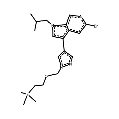 CC(C)Cn1cc(-c2cnn(COCCS(C)(C)C)c2)c2cc(Br)ncc21